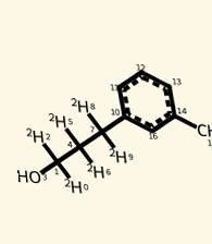 [2H]C([2H])(O)C([2H])([2H])C([2H])([2H])c1cccc(C)c1